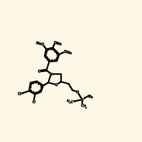 COc1cc(C(=O)N2CC(CCO[Si](C)(C)C(C)(C)C)OC2c2ccc(Cl)c(Cl)c2)cc(OC)c1OC